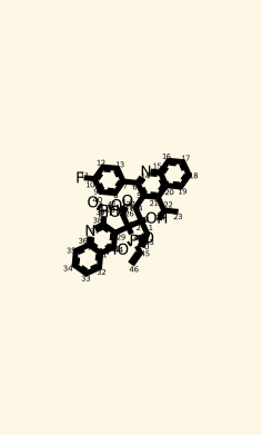 C=CC(O)(Cc1c(-c2ccc(F)cc2)nc2ccccc2c1C(C)C)C(C(=O)O)(c1cc2ccccc2nc1[PH](=O)O)P(=O)(O)C=C